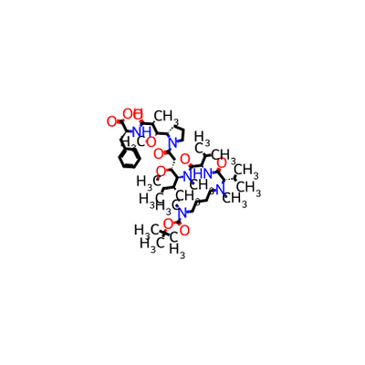 CC[C@H](C)[C@@H]([C@@H](CC(=O)N1CCC[C@H]1[C@H](OC)[C@@H](C)C(=O)N[C@@H](Cc1ccccc1)C(=O)O)OC)N(C)C(=O)[C@@H](NC(=O)[C@H](C(C)C)N(C)CCCCN(C)C(=O)OC(C)(C)C)C(C)C